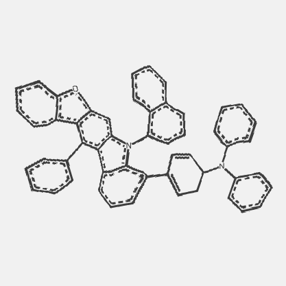 C1=CC(N(c2ccccc2)c2ccccc2)CC=C1c1cccc2c3c(-c4ccccc4)c4c(cc3n(-c3cccc5ccccc35)c12)oc1ccccc14